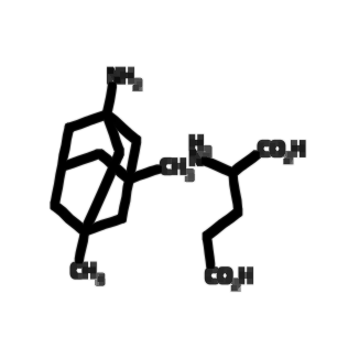 CC12CC3CC(C)(C1)CC(N)(C3)C2.NC(CCC(=O)O)C(=O)O